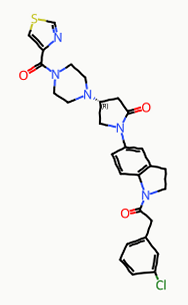 O=C(c1cscn1)N1CCN([C@@H]2CC(=O)N(c3ccc4c(c3)CCN4C(=O)Cc3cccc(Cl)c3)C2)CC1